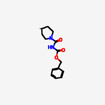 O=C(NC(=O)N1CC[CH]CC1)OCc1ccccc1